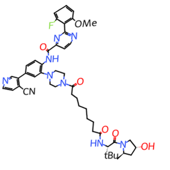 COc1cccc(F)c1-c1nccc(C(=O)Nc2ccc(-c3cnccc3C#N)cc2N2CCN(C(=O)CCCCCCCC(=O)N[C@H](C(=O)N3C[C@H](O)C[C@H]3C)C(C)(C)C)CC2)n1